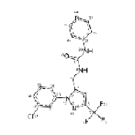 O=C(NCc1cc(C(F)(F)F)nn1-c1cccc(Cl)c1)Nc1ccncc1